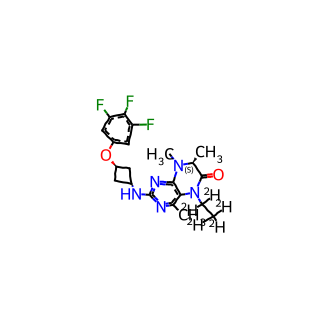 [2H]C([2H])([2H])C([2H])([2H])N1C(=O)[C@H](C)N(C)c2nc(N[C@H]3C[C@H](Oc4cc(F)c(F)c(F)c4)C3)nc(C)c21